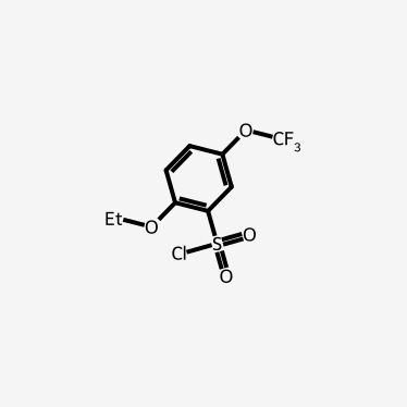 CCOc1ccc(OC(F)(F)F)cc1S(=O)(=O)Cl